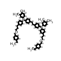 C=Cc1ccc(COCCCc2ccc(N(c3ccc(CCc4ccc(N(c5ccc(CCCOCc6ccc(C=C)cc6)cc5)c5ccc(C)c(C)c5)cc4)cc3)c3ccc(C)c(C)c3)cc2)cc1